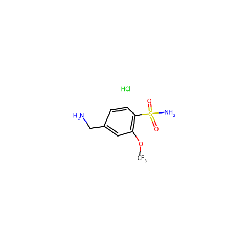 Cl.NCc1ccc(S(N)(=O)=O)c(OC(F)(F)F)c1